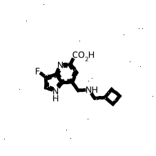 O=C(O)c1cc(CNCC2CCC2)c2[nH]cc(F)c2n1